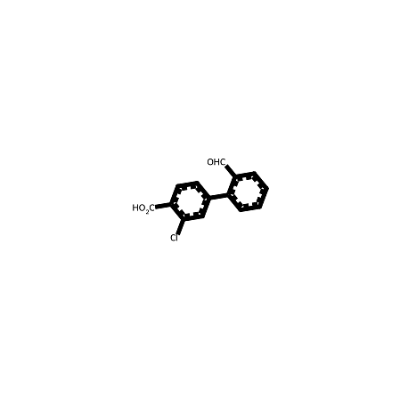 O=Cc1ccccc1-c1ccc(C(=O)O)c(Cl)c1